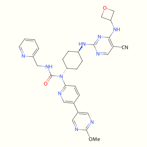 COc1ncc(-c2ccc(N(C(=O)NCc3ccccn3)[C@H]3CC[C@H](Nc4ncc(C#N)c(NC5COC5)n4)CC3)nc2)cn1